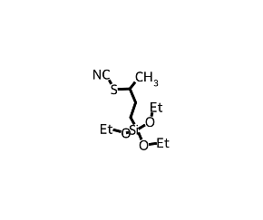 CCO[Si](CCC(C)SC#N)(OCC)OCC